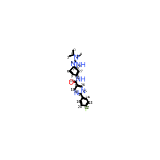 CC(C)N(C)c1nc2ccc(NC(=O)c3cnc(-c4ccc(F)cc4)nc3)cc2[nH]1